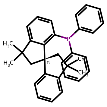 CC1(C)C[C@]2(CC(C)(C)c3cccc(P(c4ccccc4)c4ccccc4)c32)c2ccccc21